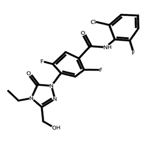 CCn1c(CO)nn(-c2cc(F)c(C(=O)Nc3c(F)cccc3Cl)cc2F)c1=O